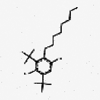 CCCCCCCCc1c(O)cc(C(C)(C)C)c(O)c1C(C)(C)C